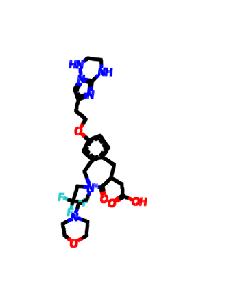 O=C(O)CC1Cc2ccc(OCCc3cn4c(n3)NCCN4)cc2C[N+](CCN2CCOCC2)(CC(F)(F)F)C1=O